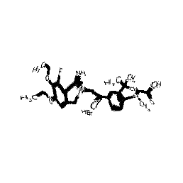 Br.CCOc1cc2c(c(F)c1OCC)C(=N)N(CC(=O)c1ccc(N(C)CC(=O)O)c(C(C)(C)C)c1)C2